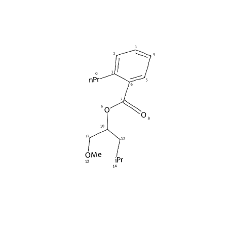 CCCc1ccccc1C(=O)OC(COC)CC(C)C